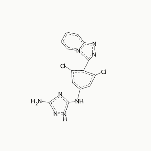 Nc1n[nH]c(Nc2cc(Cl)c(-c3nnc4ccccn34)c(Cl)c2)n1